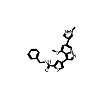 COc1cc(-c2cnn(C)c2)cn2ncc(-c3csc(C(=O)NCc4ccccc4)c3)c12